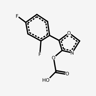 O=C(O)Oc1ncoc1-c1ccc(F)cc1F